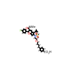 CNC(=O)c1cc2c(C3CC3)c(N(CCOCCCCc3ccc(C(=O)O)cc3)S(C)(=O)=O)cc-2oc1-c1ccc(F)cc1